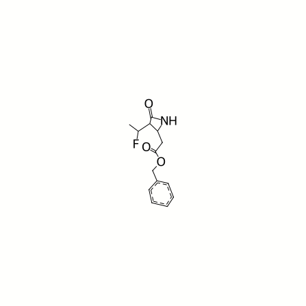 CC(F)C1C(=O)NC1CC(=O)OCc1ccccc1